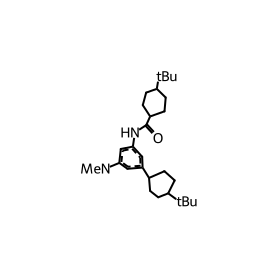 CNc1cc(NC(=O)C2CCC(C(C)(C)C)CC2)cc(C2CCC(C(C)(C)C)CC2)c1